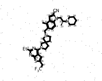 CCc1nc(N2CCC3(CCN(Cc4ccc5c(cc(C#N)n5C[C@H](C)N5CCCCC5)c4C)C3)C2)c2cc(CC(F)(F)F)sc2n1